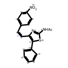 CC(=O)Nc1nc(/C=C\c2ccc([N+](=O)[O-])cc2)c(-c2ccccc2)s1